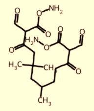 CC(CCC(=O)C(C=O)C(=O)ON)CC(C)(C)CC(=O)C(C=O)C(=O)ON